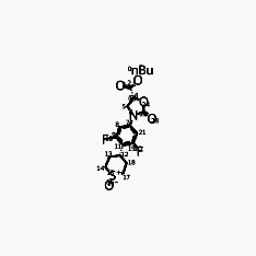 CCCCOC(=O)[C@H]1CN(c2cc(F)c([C@H]3CC[S@@+]([O-])CC3)c(F)c2)C(=O)O1